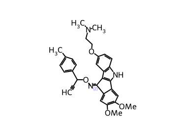 C#CC(O/N=C1/c2cc(OC)c(OC)cc2-c2[nH]c3ccc(OCCN(C)C)cc3c21)c1ccc(C)cc1